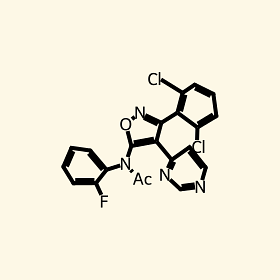 CC(=O)N(c1ccccc1F)c1onc(-c2c(Cl)cccc2Cl)c1-c1ccncn1